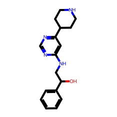 OC(CNc1cc(C2CCNCC2)ncn1)c1ccccc1